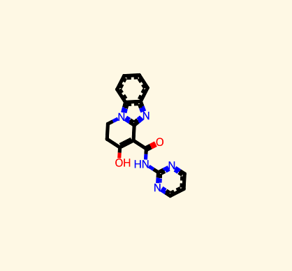 O=C(Nc1ncccn1)C1=C(O)CCn2c1nc1ccccc12